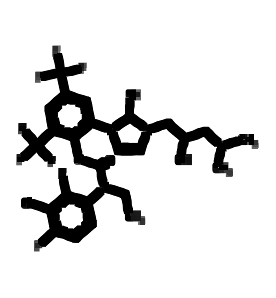 CCN(C(=O)Oc1c(N2C=CN(CC(O)CN(C)C)C2S)cc(C(F)(F)F)cc1C(F)(F)F)c1ccc(F)c(Cl)c1F